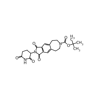 CC(C)(C)OC(=O)N1CCc2cc3c(cc2CC1)C(=O)N(C1CCC(=O)NC1=O)C3=O